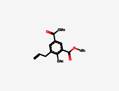 C=CCc1cc(C(=O)OC)cc(C(=O)OCCCC)c1OC(C)=O